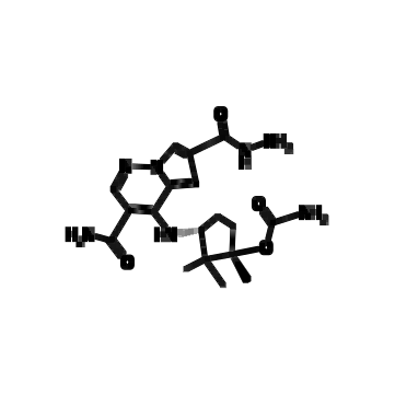 CC1(C)[C@H](Nc2c(C(N)=O)cnn3cc(C(=O)NN)cc23)CC[C@]1(C)OC(N)=O